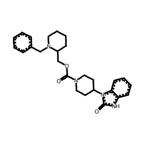 O=C(OCC1CCCCN1Cc1ccccc1)N1CCC(n2c(=O)[nH]c3ccccc32)CC1